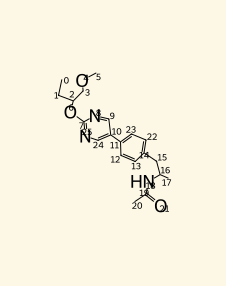 CCC(COC)Oc1ncc(-c2ccc(CC(C)NC(C)=O)cc2)cn1